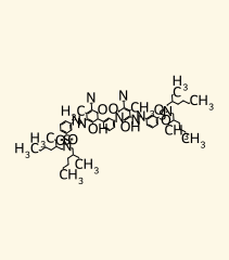 CCCCC(CC)CN(CC(CC)CCCC)S(=O)(=O)c1cccc(/N=N/C2=C(O)C(c3cccc(-n4c(O)c(/N=N/c5cccc(S(=O)(=O)N(CC(CC)CCCC)CC(CC)CCCC)c5)c(C)c(C#N)c4=O)c3)C(=O)C(C#N)=C2C)c1